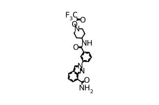 NC(=O)c1cccc2cn(-c3cccc(C(=O)NC4CCN(OC(=O)C(F)(F)F)CC4)c3)nc12